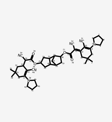 CC1(C)CC(N2CCCC2)=C(C#N)/C(=C(\C#N)C(=O)OC2CC3CC2C2CC(OC(=O)C(C#N)C4CC(C)(C)CC(N5CCCC5)=C4C#N)CC32)C1